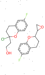 Fc1ccc2c(c1)CCC(C1CO1)O2.OCCC1(Cl)CCc2cc(F)ccc2O1